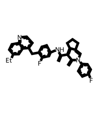 C=C(Nc1ccc(Cc2ccnc3ccc(CC)cc23)c(F)c1)C1=C2CCCC2=CN(c2ccc(F)cc2)C1=C